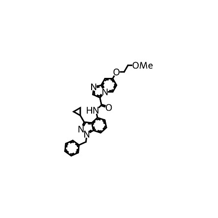 COCCOc1ccn2c(C(=O)Nc3cccc4c3c(C3CC3)nn4Cc3ccccc3)cnc2c1